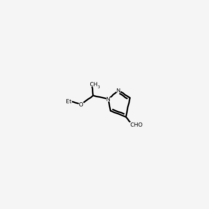 CCOC(C)n1cc(C=O)cn1